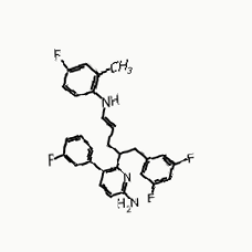 Cc1cc(F)ccc1N/C=C/CC(Cc1cc(F)cc(F)c1)c1nc(N)ccc1-c1cccc(F)c1